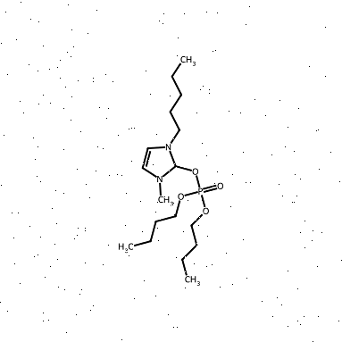 CCCCCN1C=CN(C)C1OP(=O)(OCCCC)OCCCC